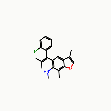 CNc1c(C(=C(C)C)c2ccccc2F)cc2c(C)coc2c1C